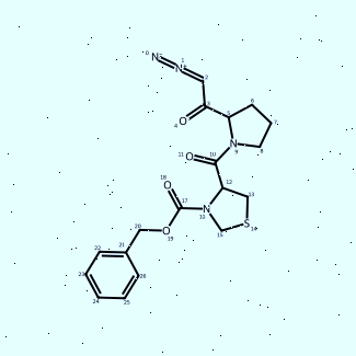 [N-]=[N+]=CC(=O)C1CCCN1C(=O)C1CSCN1C(=O)OCc1ccccc1